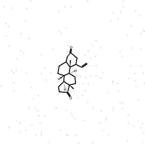 C=CC1CC(=O)CC2CC[C@@H]3[C@H](CC[C@]4(C)C(=O)CC[C@@H]34)[C@@]12C